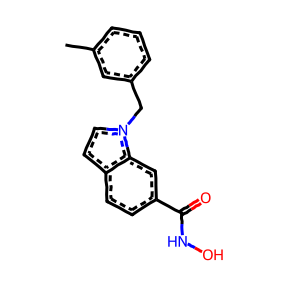 Cc1cccc(Cn2ccc3ccc(C(=O)NO)cc32)c1